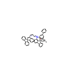 CC1(C)c2ccccc2-c2cccc(N(/C=C/C=C\C3=CC4(c5ccccc53)c3ccccc3-c3ccccc34)c3cccc(-c4ccccc4)c3)c21